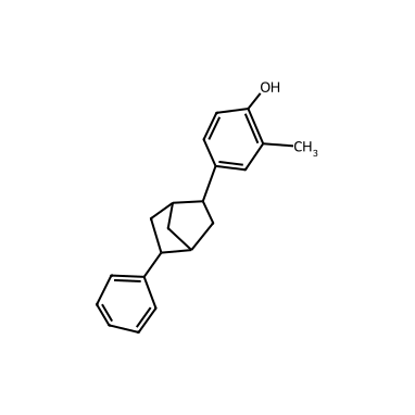 Cc1cc(C2CC3CC2CC3c2ccccc2)ccc1O